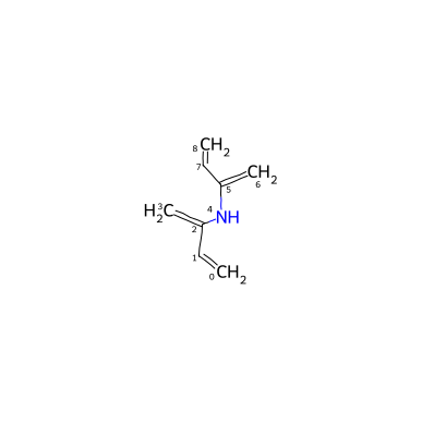 C=CC(=C)NC(=C)C=C